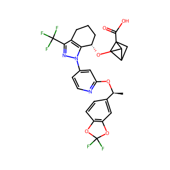 C[C@H](Oc1cc(-n2nc(C(F)(F)F)c3c2[C@@H](OC2C4CC2(C(=O)O)C4)CCC3)ccn1)c1ccc2c(c1)OC(F)(F)O2